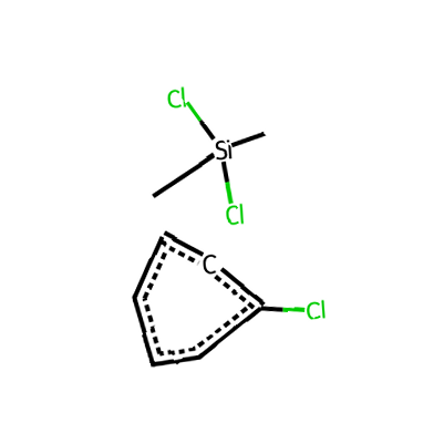 C[Si](C)(Cl)Cl.Clc1ccccc1